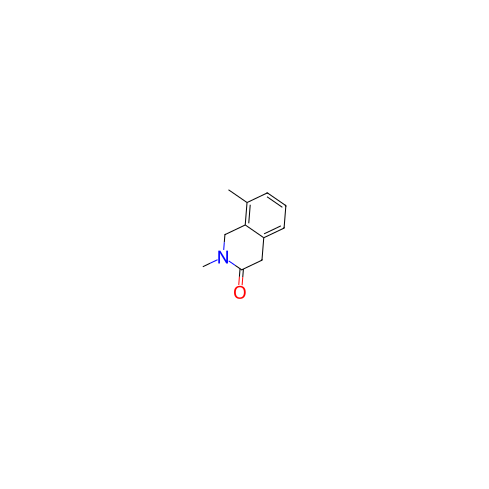 Cc1cccc2c1CN(C)C(=O)C2